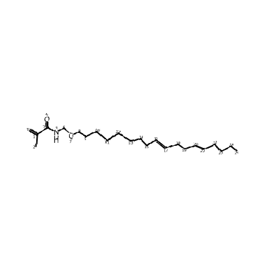 C=C(C)C(=O)NCOCCCCCCCCC=CCCCCCCCC